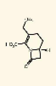 CC(=O)OCC1=C(C(=O)O)N2C(=O)C[C@H]2CC1